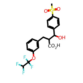 CS(=O)(=O)c1ccc(C(O)C(Cc2cccc(OC(F)(F)C(F)F)c2)C(=O)O)cc1